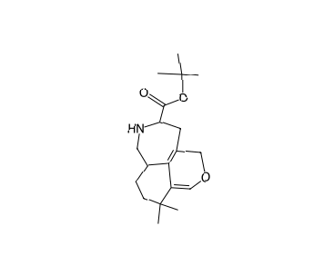 CC(C)(C)OC(=O)C1CC2=C3C(=COC2)C(C)(C)CCC3CN1